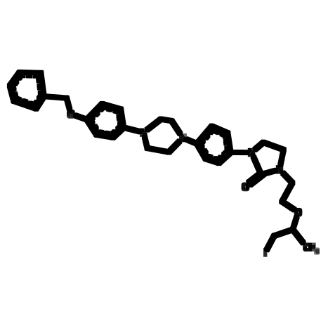 CC(CI)OCCN1CCN(c2ccc(N3CCN(c4ccc(OCc5ccccc5)cc4)CC3)cc2)C1=O